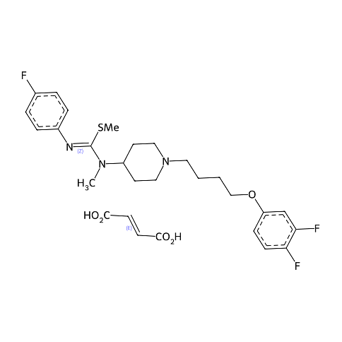 CS/C(=N\c1ccc(F)cc1)N(C)C1CCN(CCCCOc2ccc(F)c(F)c2)CC1.O=C(O)/C=C/C(=O)O